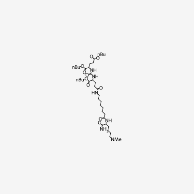 CCCCOC(=O)CCC(NC(=O)NC(CCC(=O)NCCCCCCCC(=O)NC(CCCCNC)C(N)=O)C(=O)OCCCC)C(=O)OCCCC